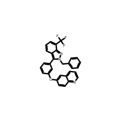 FC(F)(F)c1cccc2c(-c3cccc(Oc4ccc5ncccc5c4)c3)n(Cc3ccccc3)nc12